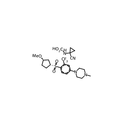 CO[C@@H]1CC[C@@H](S(=O)(=O)c2ccc(N3CCN(C)CC3)cc2C(F)(F)F)C1.N#CC1(NC(=O)O)CC1